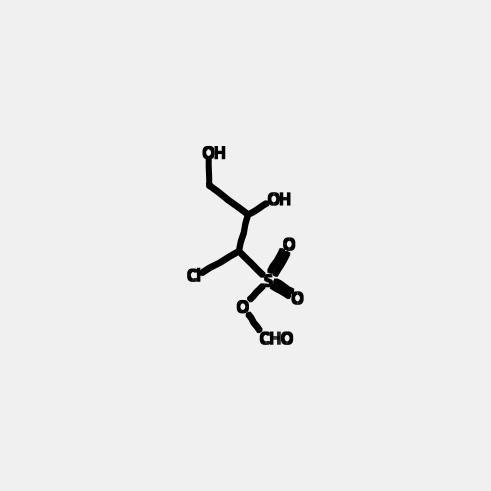 O=COS(=O)(=O)C(Cl)C(O)CO